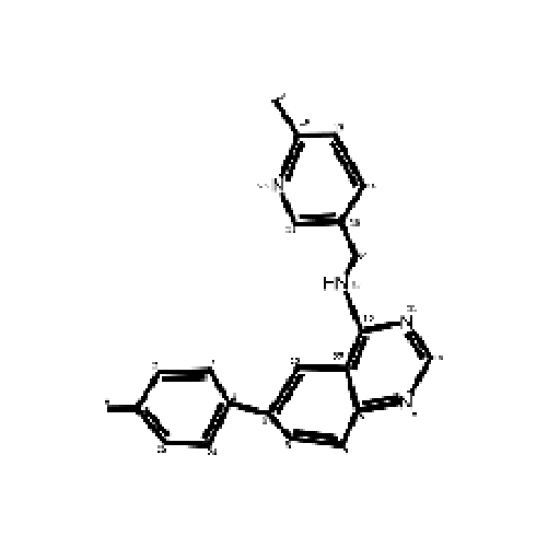 Cc1ccc(-c2ccc3ncnc(NCc4ccc(C)nc4)c3c2)cc1